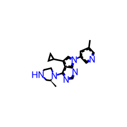 Cc1cncc(-n2cc(C3CC3)c3c(N4CCNC[C@@H]4C)ncnc32)c1